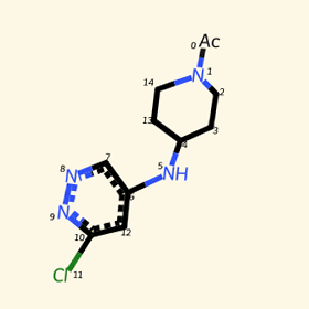 CC(=O)N1CCC(Nc2cnnc(Cl)c2)CC1